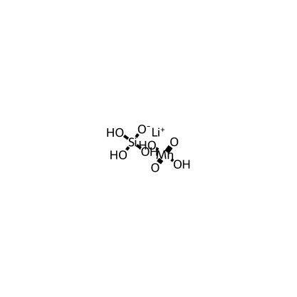 [Li+].[O-][Si](O)(O)O.[O]=[Mn](=[O])([OH])[OH]